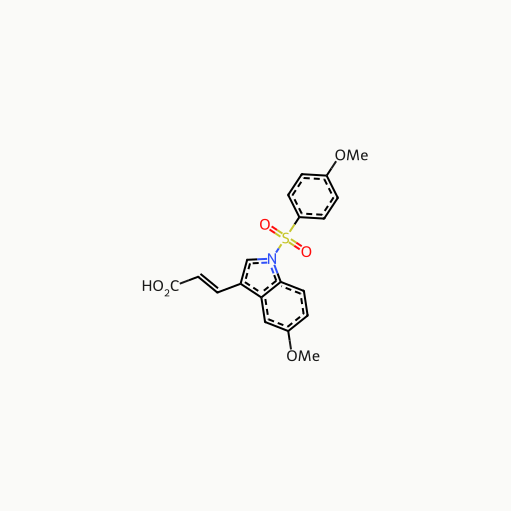 COc1ccc(S(=O)(=O)n2cc(C=CC(=O)O)c3cc(OC)ccc32)cc1